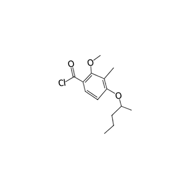 CCCC(C)Oc1ccc(C(=O)Cl)c(OC)c1C